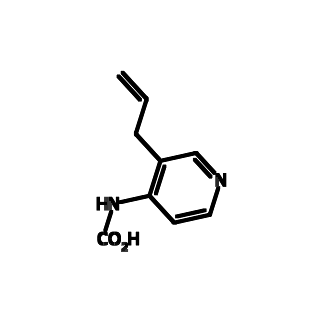 C=CCc1cnccc1NC(=O)O